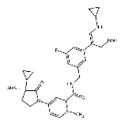 CNC/C(=C\NC1CC1)c1cc(F)cc(CNC(=O)C2C=C(N3CC[C@@](NC)(C4CC4)C3=O)C=CN2C)c1